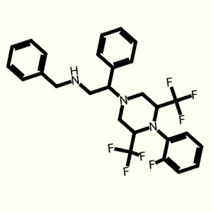 Fc1ccccc1N1C(C(F)(F)F)CN(C(CNCc2ccccc2)c2ccccc2)CC1C(F)(F)F